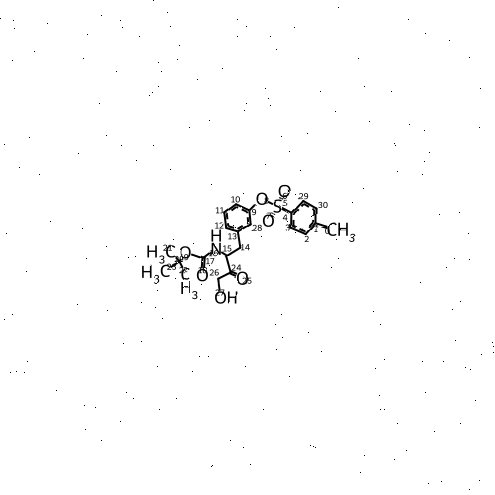 Cc1ccc(S(=O)(=O)Oc2cccc(CC(NC(=O)OC(C)(C)C)C(=O)CO)c2)cc1